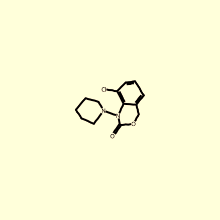 O=C1OCc2cccc(Cl)c2N1N1CCCCC1